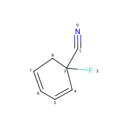 N#CC1(F)C=CC=CC1